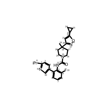 CC(C)c1ccc(-c2cccc(F)c2NC(=O)N2CCC(C)(c3cc(C4CC4)on3)CC2)cn1